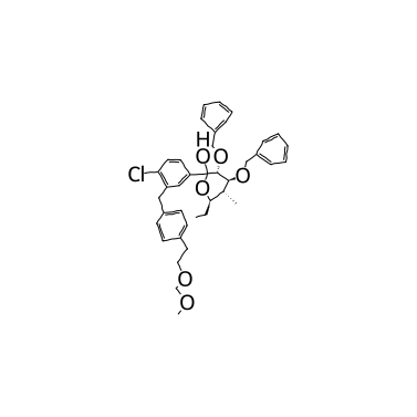 CC[C@H]1OC(O)(c2ccc(Cl)c(Cc3ccc(CCOCOC)cc3)c2)[C@H](OCc2ccccc2)[C@@H](OCc2ccccc2)[C@@H]1C